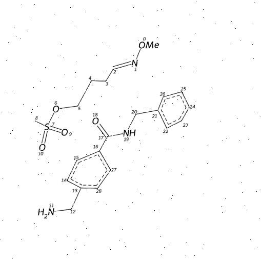 CON=CCCCOS(C)(=O)=O.NCc1ccc(C(=O)NCc2ccccc2)cc1